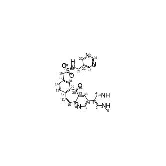 CN/C=C(\C=N)c1cnc2ccc3ccc(CS(=O)(=O)NCc4cncnc4)cc3c(=O)c2c1